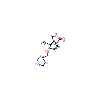 Cc1c(OCC2CCNCC2)ccc2c1COC2=O